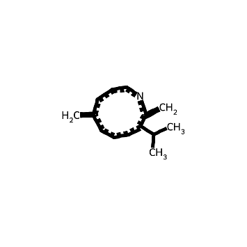 C=c1cccnc(=C)c(C(C)C)ccc1